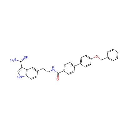 N=C(N)c1c[nH]c2ccc(CCNC(=O)c3ccc(-c4ccc(OCc5ccccc5)cc4)cc3)cc12